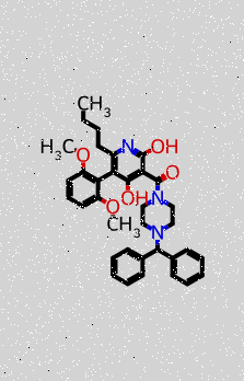 CCCCc1nc(O)c(C(=O)N2CCN(C(c3ccccc3)c3ccccc3)CC2)c(O)c1-c1c(OC)cccc1OC